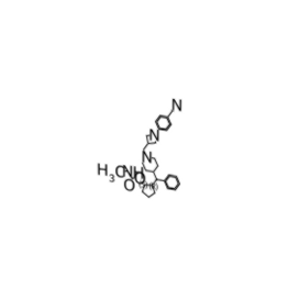 CNC(=O)O[C@H]1CCC[C@@H]1C(c1ccccc1)C1CCN(CC2CN(c3ccc(C#N)cc3)C2)CC1